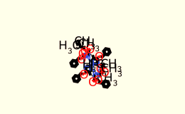 CC(N[C@@H](Cc1cc(-c2ccc(OCc3ccccc3)c(C[C@H](NC(=O)OCc3ccccc3)C(=O)OCC[Si](C)(C)C)c2)ccc1OCc1ccccc1)C(=O)OCc1ccccc1)C(=O)OC(C)(C)C